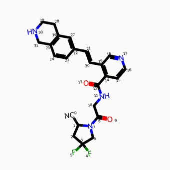 N#CC1CC(F)(F)CN1C(=O)CNC(=O)c1ccncc1C=Cc1ccc2c(c1)CCNC2